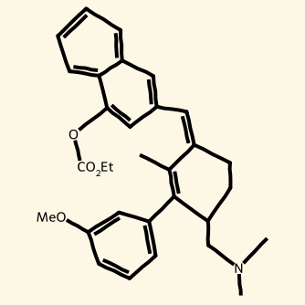 CCOC(=O)Oc1cc(/C=C2/CCC(CN(C)C)C(c3cccc(OC)c3)=C2C)cc2ccccc12